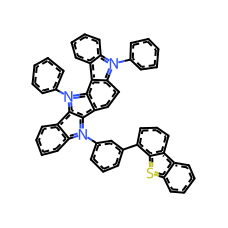 c1ccc(-n2c3ccccc3c3c2ccc2c4c(c5ccccc5n4-c4cccc(-c5cccc6c5sc5ccccc56)c4)n(-c4ccccc4)c23)cc1